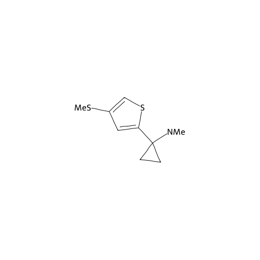 CNC1(c2cc(SC)cs2)CC1